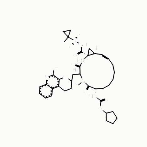 CC1(S(=O)(=O)NC(=O)[C@@]23C[C@H]2/C=C\CCCCC[C@H](NC(=O)OC2CCCC2)C(=O)N2C[C@@]4(CCc5c(c(C(F)(F)F)nc6ccccc56)O4)C[C@H]2C(=O)N3)CC1